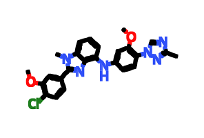 COc1cc(-c2nc3c(Nc4ccc(-n5cnc(C)n5)c(OC)c4)cccc3n2C)ccc1Cl